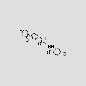 O=C(CCNC(=O)c1ccc(Cl)cc1)Nc1ccc(N2CCOCC2=O)cc1